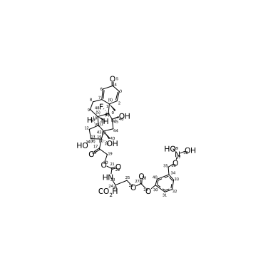 C[C@]12C=CC(=O)C=C1CC[C@H]1[C@@H]3C[C@@H](O)[C@](O)(C(=O)COC(=O)NC(COC(=O)Oc4cccc(CON(O)O)c4)C(=O)O)[C@@]3(C)C[C@H](O)[C@@]12F